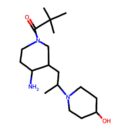 CC(CC1CN(C(=O)C(C)(C)C)CCC1N)N1CCC(O)CC1